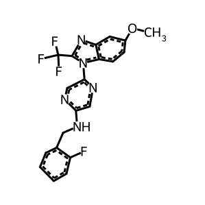 COc1ccc2c(c1)nc(C(F)(F)F)n2-c1cnc(NCc2ccccc2F)cn1